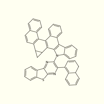 C1=CC2=C(c3nc4sc5ccccc5c4nc3-n3c4ccccc4c4c5ccccc5c5c(c43)C3CC3c3ccc4ccccc4c3-5)C=CCC2C=C1